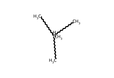 CCCCCCCCCCCCCCC[PH](C)(CCCCCCCCCCCCCCC)CCCCCCCCCCCCCCC